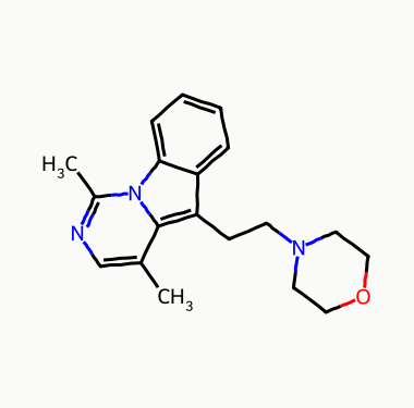 Cc1cnc(C)n2c1c(CCN1CCOCC1)c1ccccc12